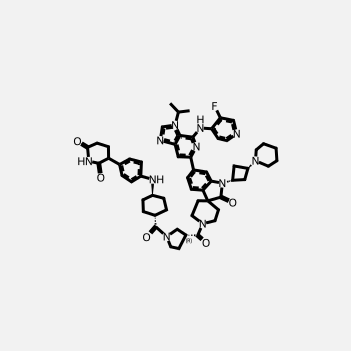 CC(C)n1cnc2cc(-c3ccc4c(c3)N([C@H]3C[C@@H](N5CCCCC5)C3)C(=O)C43CCN(C(=O)[C@@H]4CCN(C(=O)[C@H]5CC[C@H](Nc6ccc(C7CCC(=O)NC7=O)cc6)CC5)C4)CC3)nc(Nc3ccncc3F)c21